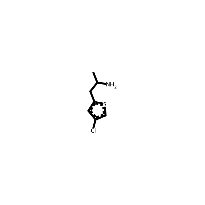 CC(N)Cc1cc(Cl)cs1